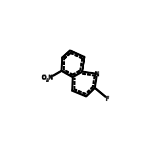 O=[N+]([O-])c1cccc2nc(F)ccc12